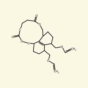 C=COCC1CCC2COC(=O)CCCC(=O)OCC3CCC(COC=C)C1=C23